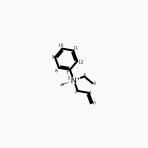 C=CC[N@+](C)(CC)c1ccccc1